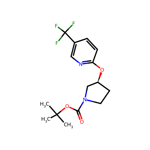 CC(C)(C)OC(=O)N1CC[C@H](Oc2ccc(C(F)(F)F)cn2)C1